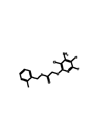 Cc1ccccc1CSC(=O)COc1nc(F)c(Cl)c(N)c1Cl